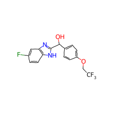 OC(c1ccc(OCC(F)(F)F)cc1)c1nc2cc(F)ccc2[nH]1